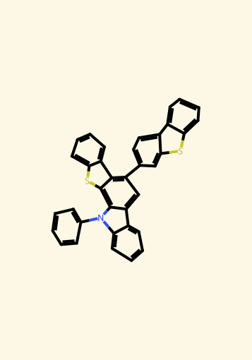 c1ccc(-n2c3ccccc3c3cc(-c4ccc5c(c4)sc4ccccc45)c4c5ccccc5sc4c32)cc1